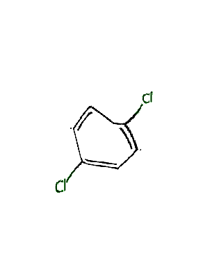 Clc1[c]cc(Cl)[c]c1